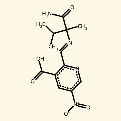 CC(C)C(C)(/N=C/c1ncc([N+](=O)[O-])cc1C(=O)O)C(N)=O